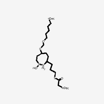 CCCCCCCCCCCCCCCOCOC1CCC(CCCSC(=O)CCCCCCCCCCC)[SiH2]N(O)CC1